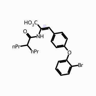 CCCC(CCC)C(=O)N/C(=C\c1ccc(Oc2ccccc2Br)cc1)C(=O)O